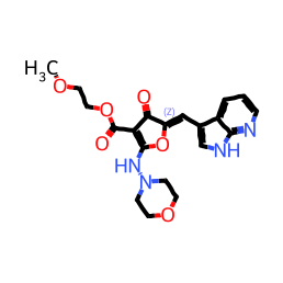 COCCOC(=O)C1=C(NN2CCOCC2)O/C(=C\c2c[nH]c3ncccc23)C1=O